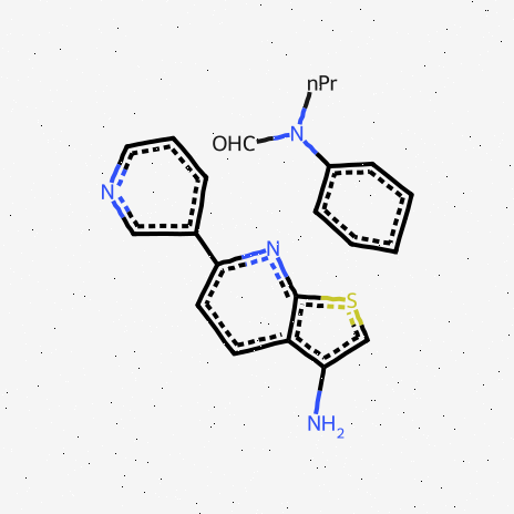 CCCN(C=O)c1ccccc1.Nc1csc2nc(-c3cccnc3)ccc12